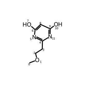 COCCc1nc(O)cc(O)n1